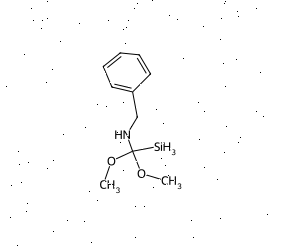 COC([SiH3])(NCc1ccccc1)OC